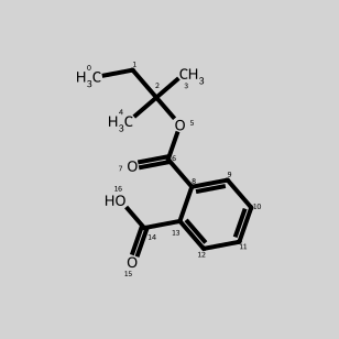 CCC(C)(C)OC(=O)c1ccccc1C(=O)O